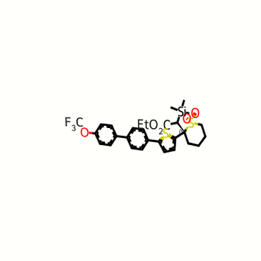 CCOC(=O)C([C@]1(c2ccc(-c3ccc(-c4ccc(OC(F)(F)F)cc4)cc3)s2)CCCCS1(=O)=O)[Si](C)(C)C